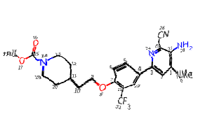 CNc1cc(-c2ccc(OCCC3CCN(C(=O)OC(C)(C)C)CC3)c(C(F)(F)F)c2)nc(C#N)c1N